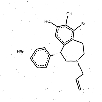 Br.C=CCN1CCc2c(cc(O)c(O)c2Br)[C@@H](c2ccccc2)C1